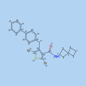 O=C(NC1CC2(CCC2)C1)c1c(Br)sc(Br)c1Cc1ccc(-c2ccccc2)cc1